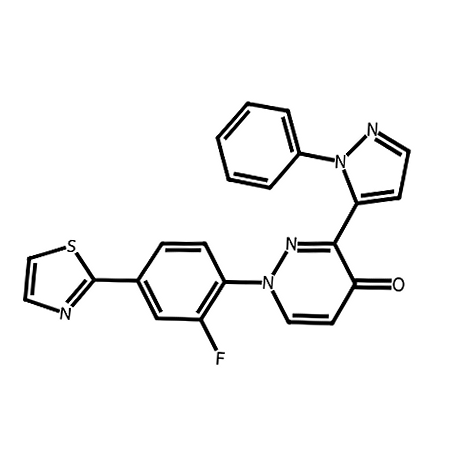 O=c1ccn(-c2ccc(-c3nccs3)cc2F)nc1-c1ccnn1-c1ccccc1